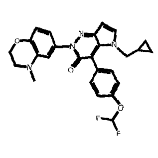 CN1CCOc2ccc(-n3nc4ccn(CC5CC5)c4c(-c4ccc(OC(F)F)cc4)c3=O)cc21